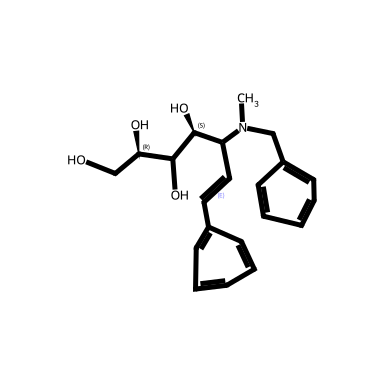 CN(Cc1ccccc1)C(/C=C/c1ccccc1)[C@H](O)C(O)[C@H](O)CO